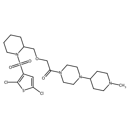 CN1CCC(N2CCN(C(=O)COCC3CCCCN3S(=O)(=O)c3cc(Cl)sc3Cl)CC2)CC1